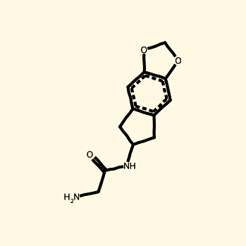 NCC(=O)NC1Cc2cc3c(cc2C1)OCO3